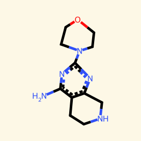 Nc1nc(N2CCOCC2)nc2c1CCNC2